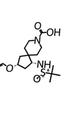 C=CO[C@H]1C[C@@H](N[S@+]([O-])C(C)(C)C)C2(CCN(C(=O)O)CC2)C1